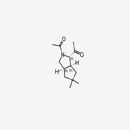 CC(=O)[C@@H]1[C@H]2CC(C)(C)C[C@H]2CN1C(C)=O